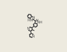 Cc1c(-c2cccnc2)cncc1-c1ccc2[nH]nc(-c3nc4ccccc4[nH]3)c2c1